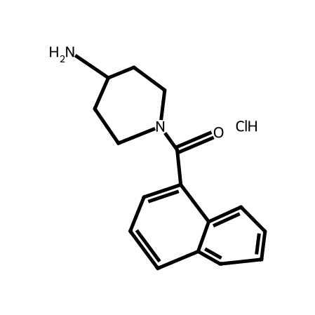 Cl.NC1CCN(C(=O)c2cccc3ccccc23)CC1